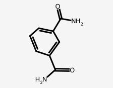 NC(=O)c1cccc(C(N)=O)c1